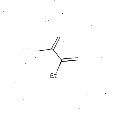 [CH2]CC(=C)C(=C)C